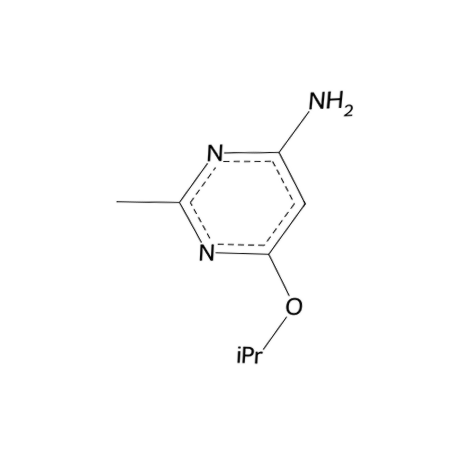 Cc1nc(N)cc(OC(C)C)n1